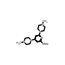 CNc1cc(N2CCN(C)CC2)cc(N2CCN(C)CC2)n1